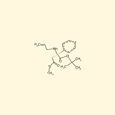 C=CCN[C@](CC(=O)OC)(C(=O)OC(C)(C)C)c1ccccc1